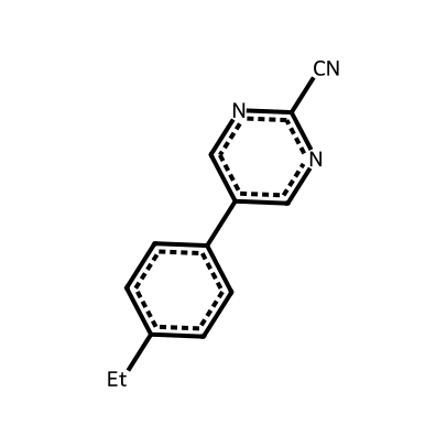 CCc1ccc(-c2cnc(C#N)nc2)cc1